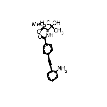 COC(=O)[C@@H](NC(=O)c1ccc(C#Cc2ccccc2N)cc1)C(C)(C)O